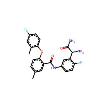 Cc1ccc(Oc2ccc(F)cc2C)c(C(=O)Nc2ccc(F)c(C(N)C(N)=O)c2)c1